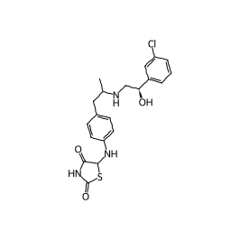 CC(Cc1ccc(NC2SC(=O)NC2=O)cc1)NC[C@H](O)c1cccc(Cl)c1